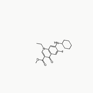 CCn1cc(C(=O)OC)c(=O)c2cc(F)c(NC3CCCCC3)cc21